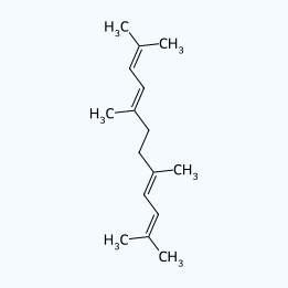 CC(C)=C/C=C(\C)CC/C(C)=C/C=C(C)C